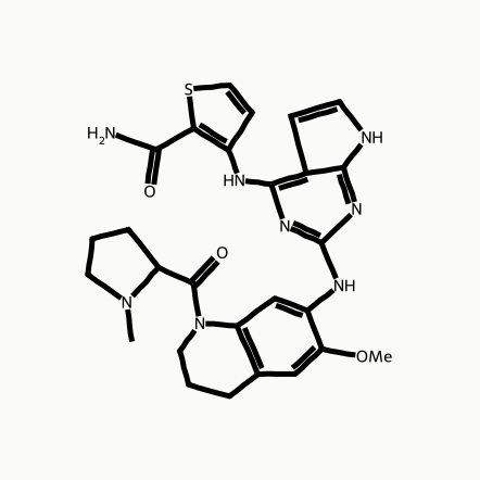 COc1cc2c(cc1Nc1nc(Nc3ccsc3C(N)=O)c3cc[nH]c3n1)N(C(=O)C1CCCN1C)CCC2